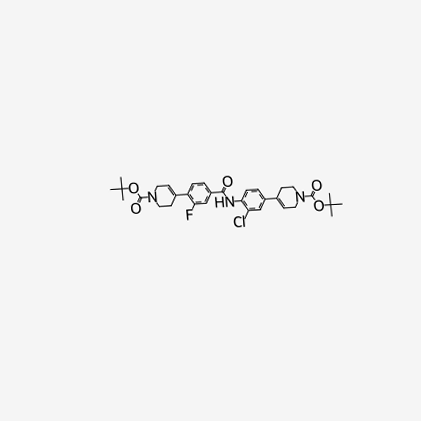 CC(C)(C)OC(=O)N1CC=C(c2ccc(NC(=O)c3ccc(C4=CCN(C(=O)OC(C)(C)C)CC4)c(F)c3)c(Cl)c2)CC1